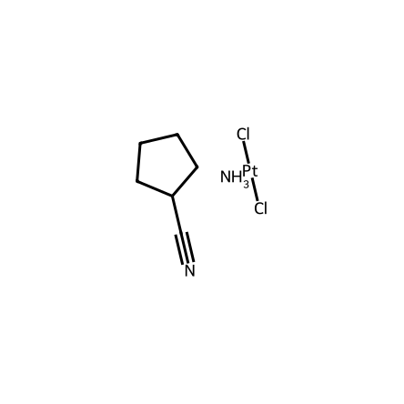 N.N#CC1CCCC1.[Cl][Pt][Cl]